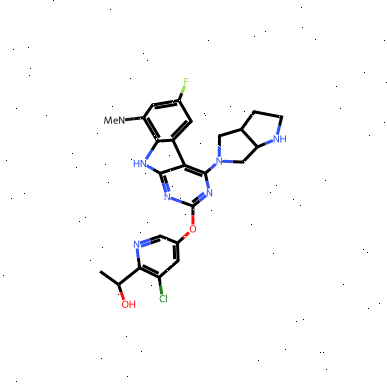 CNc1cc(F)cc2c1[nH]c1nc(Oc3cnc(C(C)O)c(Cl)c3)nc(N3CC4CCNC4C3)c12